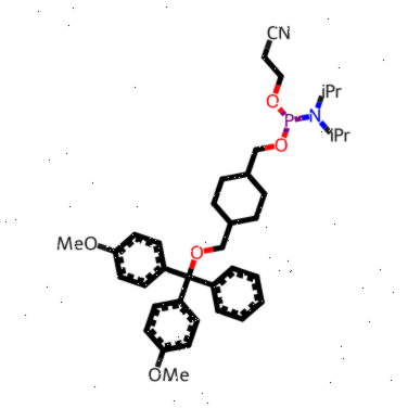 COc1ccc(C(OCC2CCC(COP(OCCC#N)N(C(C)C)C(C)C)CC2)(c2ccccc2)c2ccc(OC)cc2)cc1